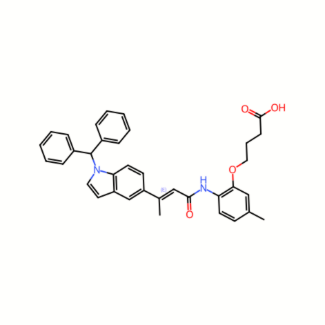 C/C(=C\C(=O)Nc1ccc(C)cc1OCCCC(=O)O)c1ccc2c(ccn2C(c2ccccc2)c2ccccc2)c1